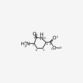 COC(=O)C1CCC(N)C(=O)N1